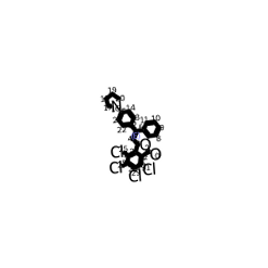 O=C1OC(/C=C(\c2ccccc2)c2ccc(N3CCCC3)cc2)c2c(Cl)c(Cl)c(Cl)c(Cl)c21